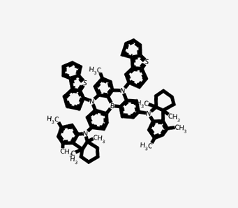 Cc1cc2c3c(c1)N(c1cccc4c1sc1ccccc14)c1cc(N4c5cc(C)cc(C)c5C5(C)CCCCC45C)ccc1B3c1ccc(N3c4cc(C)cc(C)c4C4(C)CCCCC34C)cc1N2c1ccc2sc3ccccc3c2c1